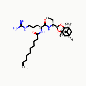 C=CCCCCCCCC(=O)N[C@@H](CCCNC(=N)N)C(=O)N[C@@H](CC(C)C)B1O[C@@H]2C[C@@H]3C[C@@H](C3(C)C)[C@]2(C)O1